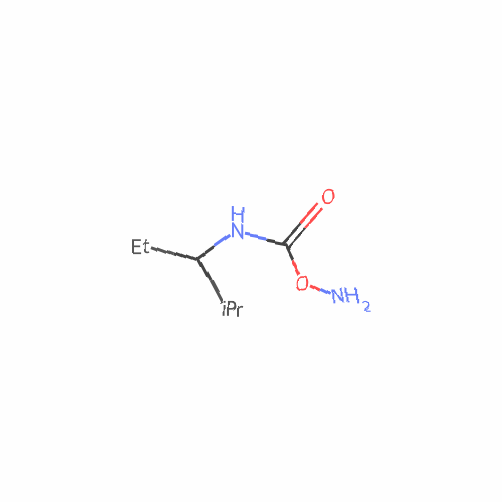 CCC(NC(=O)ON)C(C)C